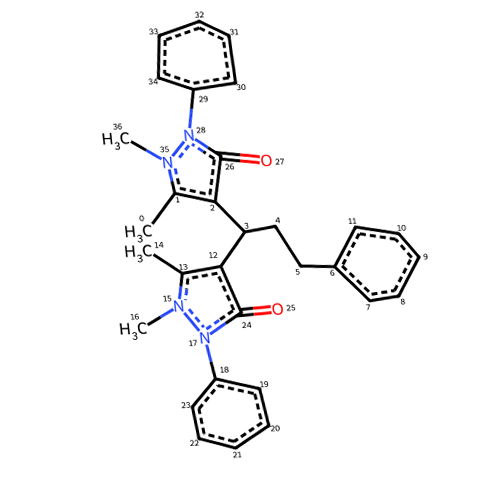 Cc1c(C(CCc2ccccc2)c2c(C)n(C)n(-c3ccccc3)c2=O)c(=O)n(-c2ccccc2)n1C